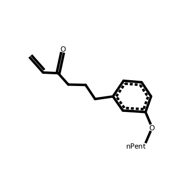 C=CC(=O)CCCc1cccc(OCCCCC)c1